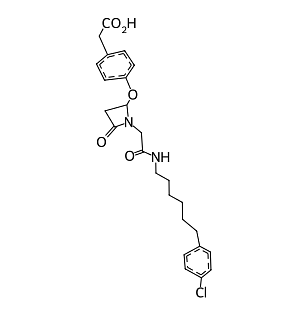 O=C(O)Cc1ccc(OC2CC(=O)N2CC(=O)NCCCCCCc2ccc(Cl)cc2)cc1